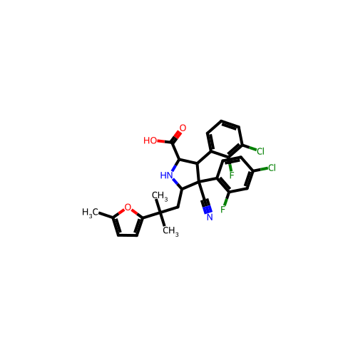 Cc1ccc(C(C)(C)CC2NC(C(=O)O)C(c3cccc(Cl)c3F)C2(C#N)c2ccc(Cl)cc2F)o1